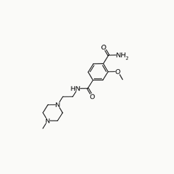 COc1cc(C(=O)NCCN2CCN(C)CC2)ccc1C(N)=O